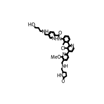 COc1nc(-c2ccnc(-c3cccc(NC(=O)c4ccc(CNCCCO)cn4)c3C)c2Cl)ccc1CNCC1CCC(=O)N1